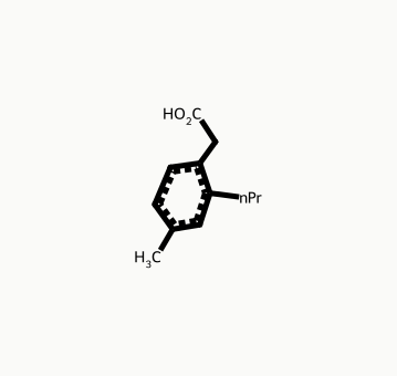 CCCc1cc(C)ccc1CC(=O)O